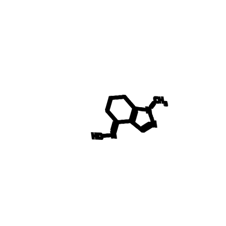 Cn1ncc2c1CCC/C2=N\O